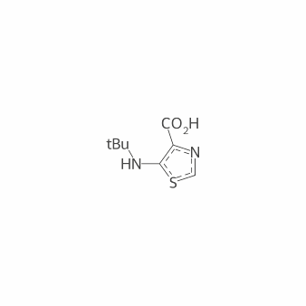 CC(C)(C)Nc1scnc1C(=O)O